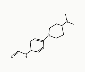 CN(C)C1CCN(C2=CCC(NC=O)C=C2)CC1